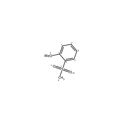 [CH2]Oc1ccccc1S(C)(=O)=O